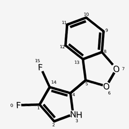 Fc1c[nH]c(C2OOc3ccccc32)c1F